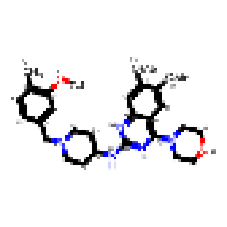 CCOc1cc(CN2CCC(Nc3nc(N4CCOCC4)c4cc(OC)c(OC)cc4n3)CC2)ccc1C